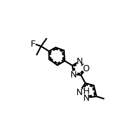 Cc1cc(-c2nc(-c3ccc(C(C)(C)F)cc3)no2)n[nH]1